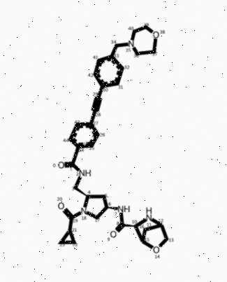 O=C(NC[C@H]1C[C@@H](NC(=O)[C@H]2NC3COC2C3)CN1C(=O)C1CC1)c1ccc(C#Cc2ccc(CN3CCOCC3)cc2)cc1